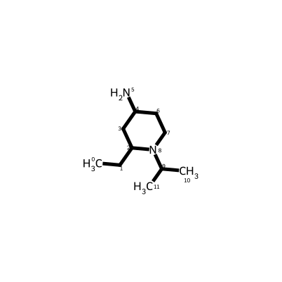 CCC1CC(N)CCN1C(C)C